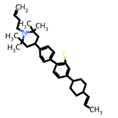 C=CCCN1C(C)(C)CC(c2ccc(-c3ccc(C4CCC(/C=C/C)CC4)cc3F)cc2)CC1(C)C